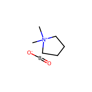 C[N+]1(C)CCCC1.O=B[O-]